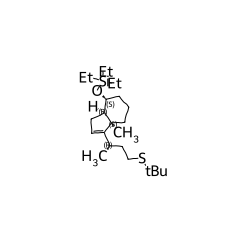 CC[Si](CC)(CC)O[C@H]1CCC[C@]2(C)C([C@H](C)CCSC(C)(C)C)=CC[C@@H]12